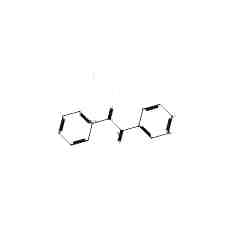 Cl.Cl.O=C(C(=O)c1ccccc1)c1ccccc1